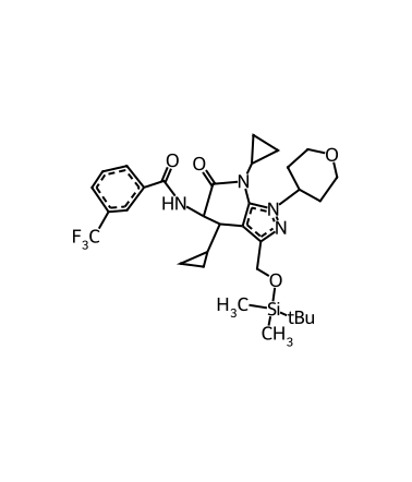 CC(C)(C)[Si](C)(C)OCc1nn(C2CCOCC2)c2c1C(C1CC1)C(NC(=O)c1cccc(C(F)(F)F)c1)C(=O)N2C1CC1